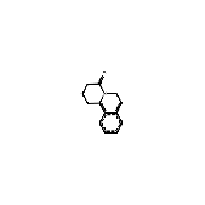 O=C1CCCC2=c3ccccc3=CCN12